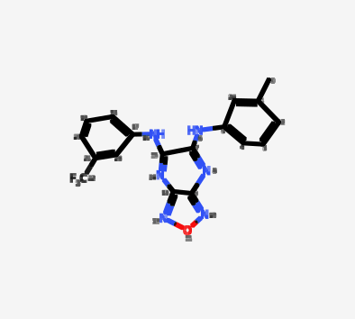 Cc1cccc(Nc2nc3nonc3nc2Nc2cccc(C(F)(F)F)c2)c1